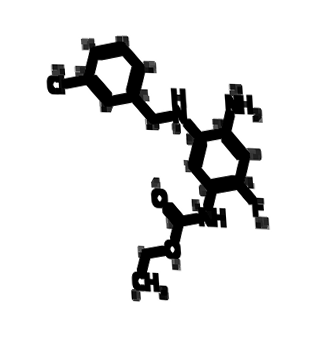 CCOC(=O)Nc1cc(NCc2cccc(Cl)c2)c(N)cc1F